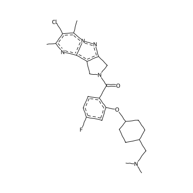 Cc1nc2c3c(nn2c(C)c1Cl)CN(C(=O)c1ccc(F)cc1OC1CCC(CN(C)C)CC1)C3